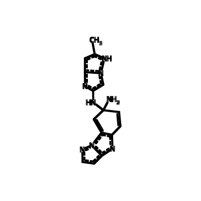 Cc1cc2nc(NC3(N)C=Cc4nc5ccnn5c4=C3)cn2[nH]1